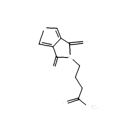 COC(=O)CCCN1C(=O)c2cscc2C1=O